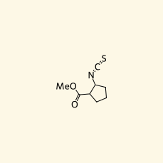 COC(=O)C1CCCC1N=C=S